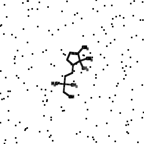 CC1=CCC(CCC(C)(C)CO)C1(C)C